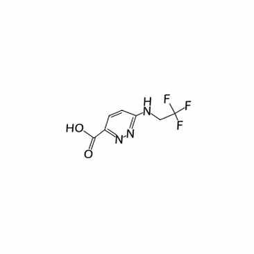 O=C(O)c1ccc(NCC(F)(F)F)nn1